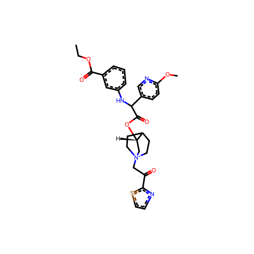 CCOC(=O)c1cccc(NC(C(=O)O[C@H]2C[N+]3(CC(=O)c4nccs4)CCC2CC3)c2ccc(OC)nc2)c1